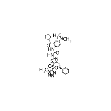 CN(C)c1ccc(NC(=O)Nc2nc(CSc3ccccc3)c(S(=O)(=O)c3nnnn3C)s2)c(C(=O)C2CCCC2)c1